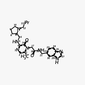 Cc1cnc(NC[C@H]2CCCN2CC(C)C)c(=O)n1CC(=O)NCc1ccc2nc[nH]c2c1